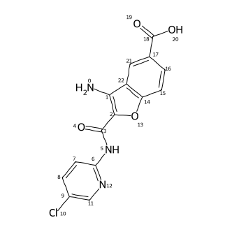 Nc1c(C(=O)Nc2ccc(Cl)cn2)oc2ccc(C(=O)O)cc12